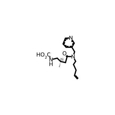 C=CCCCN(Cc1cccnc1)C(=O)C[C@H](C)CNC(=O)O